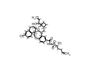 C=CCC[C@@H](CC)S(=O)(=O)NC(=O)c1ccc2c(c1)N(C[C@@H]1CC[C@@]1(C)[C@H](O)C=C)C[C@@]1(CCCc3cc(Cl)ccc31)CO2